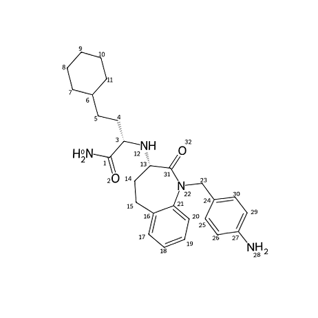 NC(=O)[C@H](CCC1CCCCC1)N[C@H]1CCc2ccccc2N(Cc2ccc(N)cc2)C1=O